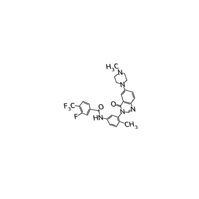 Cc1ccc(NC(=O)c2ccc(C(F)(F)F)c(F)c2)cc1-n1cnc2ccc(N3CCN(C)CC3)cc2c1=O